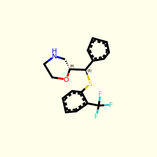 FC(F)(F)c1ccccc1S[C@H](c1ccccc1)[C@H]1CNCCO1